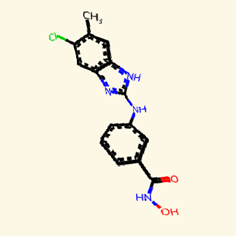 Cc1cc2[nH]c(Nc3cccc(C(=O)NO)c3)nc2cc1Cl